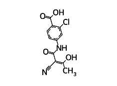 CC(O)=C(C#N)C(=O)Nc1ccc(C(=O)O)c(Cl)c1